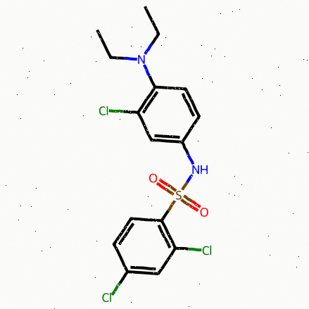 CCN(CC)c1ccc(NS(=O)(=O)c2ccc(Cl)cc2Cl)cc1Cl